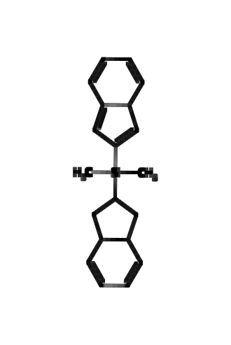 C[Si](C)(C1=CC2C=CC=CC2=C1)C1CC2C=CC=CC2C1